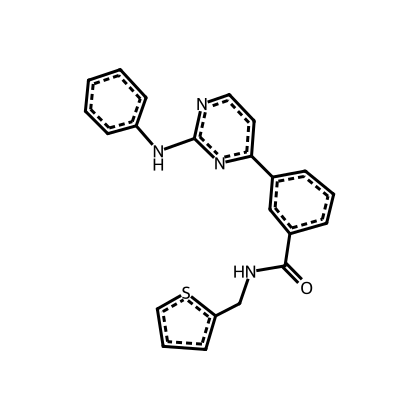 O=C(NCc1cccs1)c1cccc(-c2ccnc(Nc3ccccc3)n2)c1